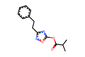 CC(C)C(=O)Oc1nc(CCc2ccccc2)no1